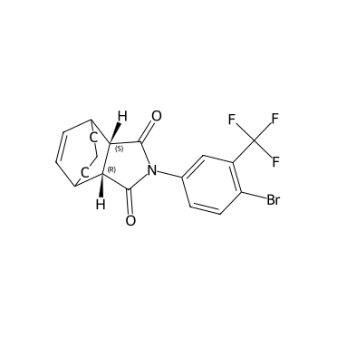 O=C1[C@@H]2C3C=CC(CCC3)[C@@H]2C(=O)N1c1ccc(Br)c(C(F)(F)F)c1